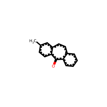 Cc1ccc2c(=O)c3ccccc3ccc2c1